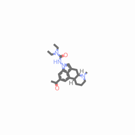 CCN(CC)C(=O)Nn1cc2c3c(cc(C(C)=O)cc31)[C@H]1CCCN(C)[C@@H]1C2